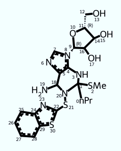 CCCC1(SC)Nc2c(ncn2[C@@H]2O[C@H](CO)C(O)C2O)C(N)N1Sc1nc2ccccc2s1